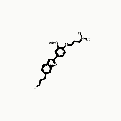 CCN(CC)CCCOc1ccc(-c2cc3ccc(CCCO)cc3o2)cc1OC